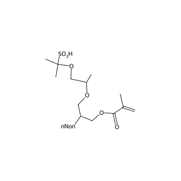 C=C(C)C(=O)OCC(CCCCCCCCC)COC(C)COC(C)(C)S(=O)(=O)O